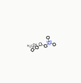 CC1(C)c2ccccc2-c2ccc(C3=CC(c4cccc(-c5nc(-c6ccccc6)nc(-c6ccccc6)n5)c4)=CCC3)cc21